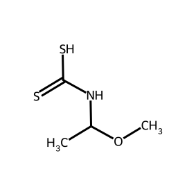 COC(C)NC(=S)S